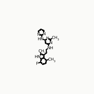 Cc1nc(NCCc2c(C)[nH]c3c(F)ccc(C)c23)cc(Nc2ncccn2)n1